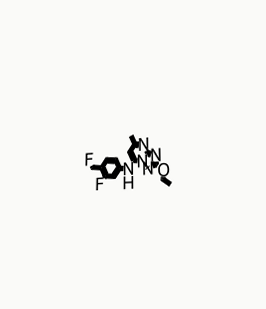 CCOc1nc2nc(C)cc(Nc3ccc(CF)c(F)c3)n2n1